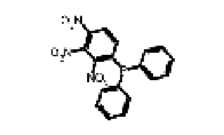 O=[N+]([O-])c1ccc(P(c2ccccc2)c2ccccc2)c([N+](=O)[O-])c1[N+](=O)[O-]